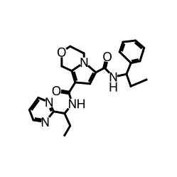 CCC(NC(=O)c1cc(C(=O)NC(CC)c2ncccn2)c2n1CCOC2)c1ccccc1